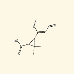 COC(=CC=O)C1C(C(=O)O)C1(C)C